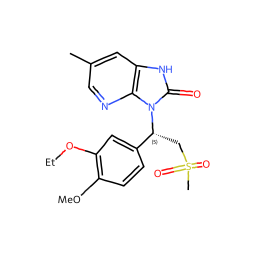 CCOc1cc([C@@H](CS(C)(=O)=O)n2c(=O)[nH]c3cc(C)cnc32)ccc1OC